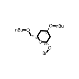 CCCCOC[C@@H]1C[C@H](OCCCC)C[C@H](OBr)O1